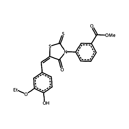 CCOc1cc(C=C2SC(=S)N(c3cccc(C(=O)OC)c3)C2=O)ccc1O